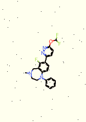 CN1CCN(c2ccccc2)c2ccc(-c3ccc(OC(F)F)nn3)c(F)c2C1